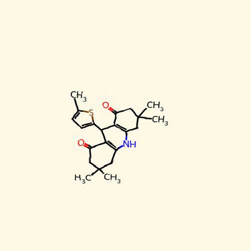 Cc1ccc(C2C3=C(CC(C)(C)CC3=O)NC3=C2C(=O)CC(C)(C)C3)s1